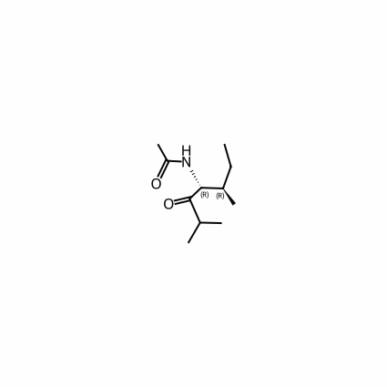 CC[C@@H](C)[C@@H](NC(C)=O)C(=O)C(C)C